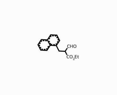 CCOC(=O)C(C=O)Cc1cccc2ccccc12